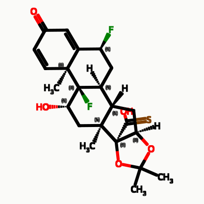 CC1(C)O[C@@H]2C[C@H]3[C@@H]4C[C@H](F)C5=CC(=O)C=C[C@]5(C)[C@@]4(F)[C@@H](O)C[C@]3(C)[C@]2(C(O)=S)O1